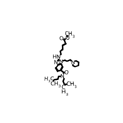 COC(=O)CCCCCNc1nc2ccc(C(=O)N(CCC(C)C)CCC(C)C)cc2n1CCCN1CCCCC1